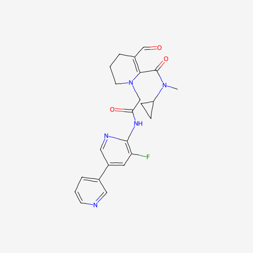 CN(C(=O)C1=C(C=O)CCCN1CC(=O)Nc1ncc(-c2cccnc2)cc1F)C1CC1